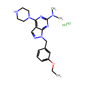 CCOc1cccc(Cn2ncc3c(N4CCNCC4)nc(N(C)C)nc32)c1.Cl.Cl